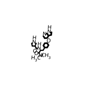 CN(C)C(=O)C(Cc1ccc(Oc2ccnc3[nH]ccc23)cc1)NC(=O)C1CCNC1